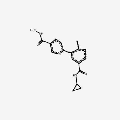 Cc1ccc(C(=O)NC2CC2)cc1-c1ccc(C(=O)NN)cn1